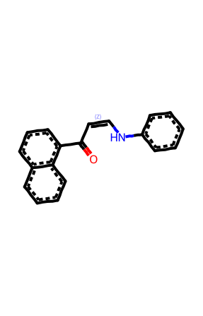 O=C(/C=C\Nc1ccccc1)c1cccc2ccccc12